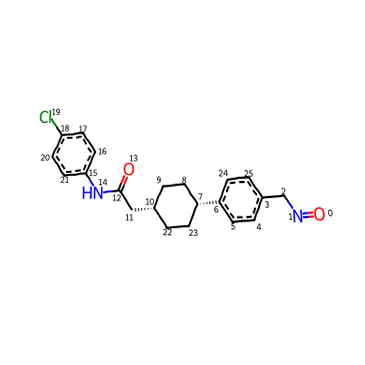 O=NCc1ccc([C@H]2CC[C@@H](CC(=O)Nc3ccc(Cl)cc3)CC2)cc1